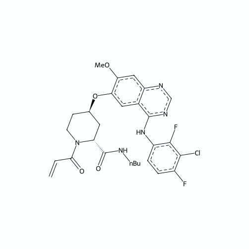 C=CC(=O)N1CC[C@@H](Oc2cc3c(Nc4ccc(F)c(Cl)c4F)ncnc3cc2OC)C[C@@H]1C(=O)NCCCC